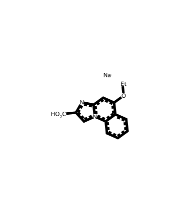 CCOc1cc2nc(C(=O)O)cn2c2ccccc12.[Na]